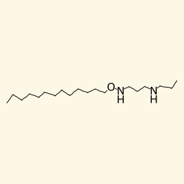 CCCCCCCCCCCCCONCCCNCCC